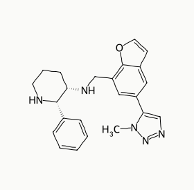 Cn1nncc1-c1cc(CN[C@H]2CCCN[C@H]2c2ccccc2)c2occc2c1